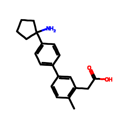 Cc1ccc(-c2ccc(C3(N)CCCC3)cc2)cc1CC(=O)O